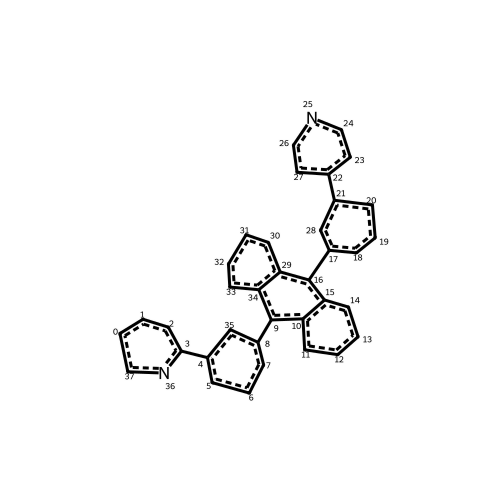 c1ccc(-c2cccc(-c3c4ccccc4c(-c4cccc(-c5ccncc5)c4)c4ccccc34)c2)nc1